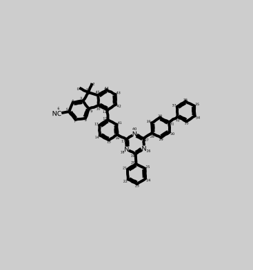 CC1(C)c2cc(C#N)ccc2-c2c(-c3cccc(-c4nc(-c5ccccc5)nc(-c5ccc(-c6ccccc6)cc5)n4)c3)cccc21